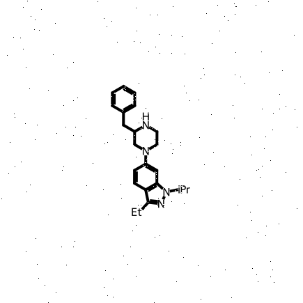 CCc1nn(C(C)C)c2cc(N3CCNC(Cc4ccccc4)C3)ccc12